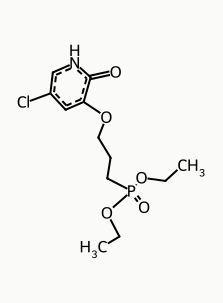 CCOP(=O)(CCCOc1cc(Cl)c[nH]c1=O)OCC